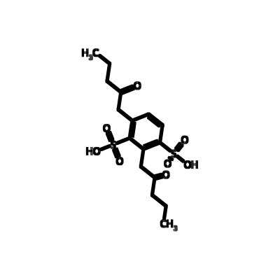 CCCC(=O)Cc1ccc(S(=O)(=O)O)c(CC(=O)CCC)c1S(=O)(=O)O